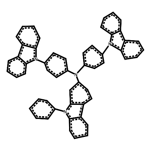 c1ccc(-n2c3ccccc3c3ccc(N(c4ccc(-n5c6ccccc6c6ccccc65)cc4)c4ccc(-n5c6ccccc6c6ccccc65)cc4)cc32)cc1